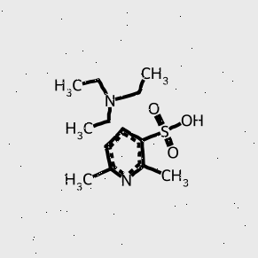 CCN(CC)CC.Cc1ccc(S(=O)(=O)O)c(C)n1